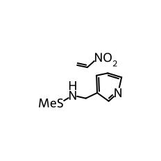 C=C[N+](=O)[O-].CSNCc1cccnc1